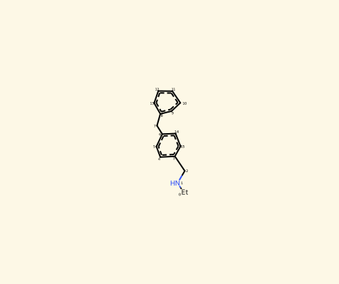 CCNCc1ccc(Cc2ccccc2)cc1